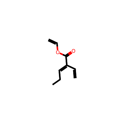 C=COC(=O)C(C=C)=CCC